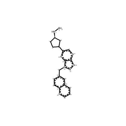 BN[C@@H]1CCC(c2cnc3nnn(Cc4ccc5ncccc5c4)c3n2)C1